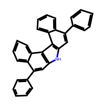 c1ccc(-c2cc3[nH]c4cc(-c5ccccc5)c5ccccc5c4c3c3ccccc23)cc1